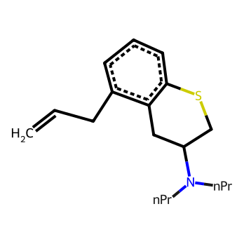 C=CCc1cccc2c1CC(N(CCC)CCC)CS2